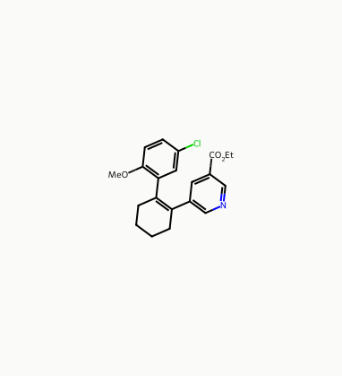 CCOC(=O)c1cncc(C2=C(c3cc(Cl)ccc3OC)CCCC2)c1